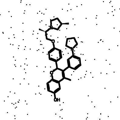 CC1=C(c2cccc(N3CCCC3)c2)C(c2ccc(OC[C@H](C)N3CC[C@@H](C)C3)cc2)Oc2ccc(O)cc21